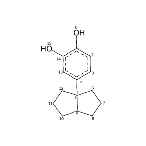 Oc1ccc(C23CCCC2CCC3)cc1O